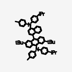 Cc1ccc(N(c2ccc(C(C)C)cc2)c2ccc(-c3c4cc(C(C)(C)C)ccc4c(N(c4ccc(C)cc4)c4ccc(C(C)C)cc4)c4cc(C(C)(C)C)ccc34)c3ccccc23)cc1